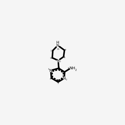 Nc1nccnc1N1CCNCC1